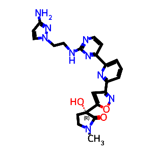 CN1CC[C@@](O)(c2cc(-c3cccc(-c4ccnc(NCCn5ccc(N)n5)n4)n3)no2)C1=O